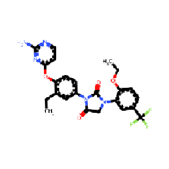 CCOc1ccc(C(F)(F)F)cc1N1CC(=O)N(c2ccc(Oc3ccnc(N)n3)c(CC)c2)C1=O